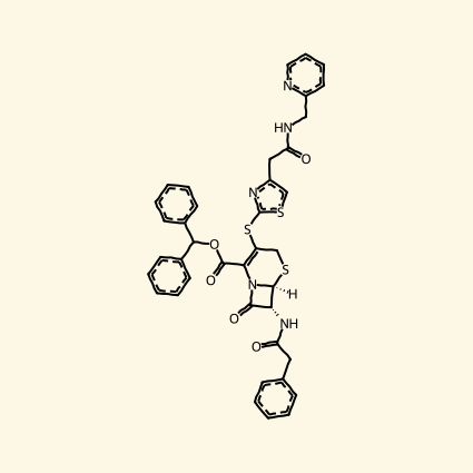 O=C(Cc1csc(SC2=C(C(=O)OC(c3ccccc3)c3ccccc3)N3C(=O)[C@@H](NC(=O)Cc4ccccc4)[C@@H]3SC2)n1)NCc1ccccn1